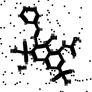 CC(=O)Nc1cc(S(=O)(=O)O)cc2cc(S(=O)(=O)O)c(N=Nc3ccccc3)c(O)c12.[NaH]